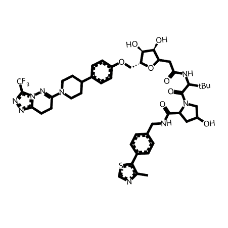 Cc1ncsc1-c1ccc(CNC(=O)C2CC(O)CN2C(=O)C(NC(=O)CC2O[C@H](COc3ccc(C4CCN(C5=Nn6c(nnc6C(F)(F)F)CC5)CC4)cc3)[C@@H](O)[C@H]2O)C(C)(C)C)cc1